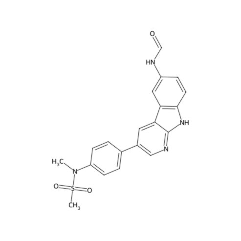 CN(c1ccc(-c2cnc3[nH]c4ccc(NC=O)cc4c3c2)cc1)S(C)(=O)=O